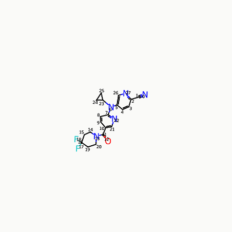 N#Cc1ccc(N(c2ccc(C(=O)N3CCC(F)(F)CC3)cn2)C2CC2)cn1